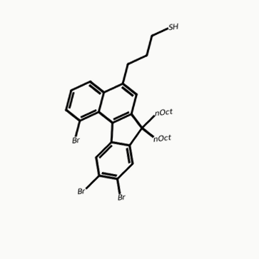 CCCCCCCCC1(CCCCCCCC)c2cc(Br)c(Br)cc2-c2c1cc(CCCS)c1cccc(Br)c21